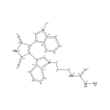 Cn1cc(C2=C(c3cn(CCCNC(=O)NS)c4ccccc34)C(=O)NC2=O)c2ccccc21